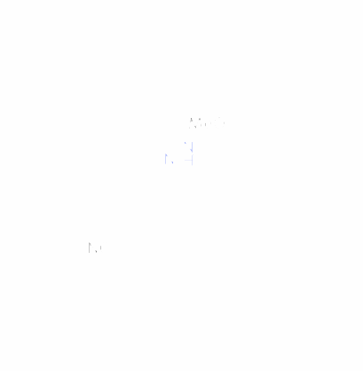 COc1ccccc1-c1cc(C2=CCC(C#N)C=C2)n[nH]1